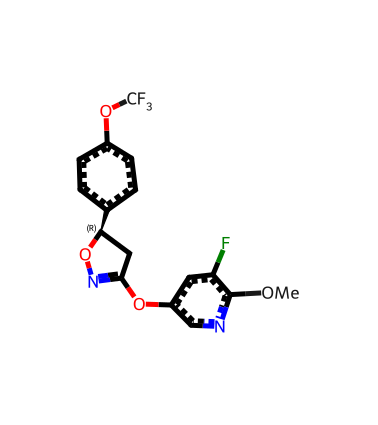 COc1ncc(OC2=NO[C@@H](c3ccc(OC(F)(F)F)cc3)C2)cc1F